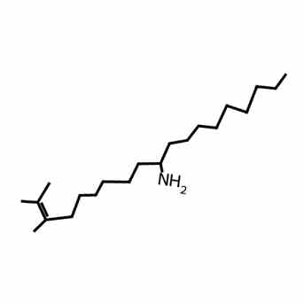 CCCCCCCCCC(N)CCCCCCC(C)=C(C)C